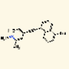 C=N/C(C)=C\C(C#Cc1cccc2c(C(C)(C)C)cccc12)=C/C